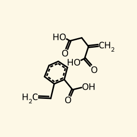 C=C(CC(=O)O)C(=O)O.C=Cc1ccccc1C(=O)O